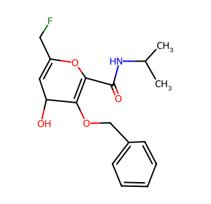 CC(C)NC(=O)C1=C(OCc2ccccc2)C(O)C=C(CF)O1